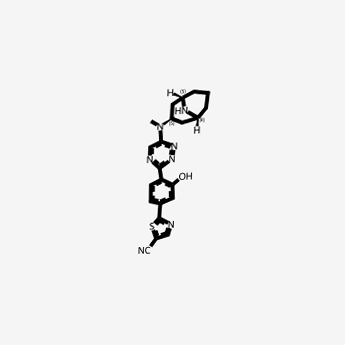 CN(c1cnc(-c2ccc(-c3ncc(C#N)s3)cc2O)nn1)[C@@H]1C[C@H]2CCC[C@@H](C1)N2